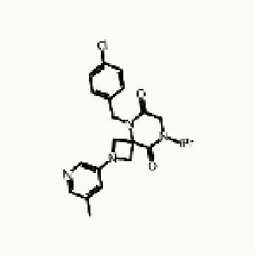 Cc1cncc(N2CC3(C2)C(=O)N(C(C)C)CC(=O)N3Cc2ccc(Cl)cc2)c1